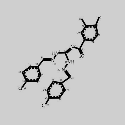 Cc1ccc(C(=O)N=C(NN=Cc2ccc(Cl)cc2)NN=Cc2ccc(Cl)cc2)cc1C